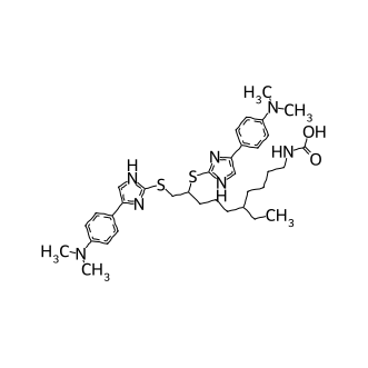 CCC(CCCCNC(=O)O)CCCC(CSc1nc(-c2ccc(N(C)C)cc2)c[nH]1)Sc1nc(-c2ccc(N(C)C)cc2)c[nH]1